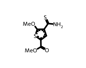 COC(=O)c1cc(C(N)=S)c(OC)s1